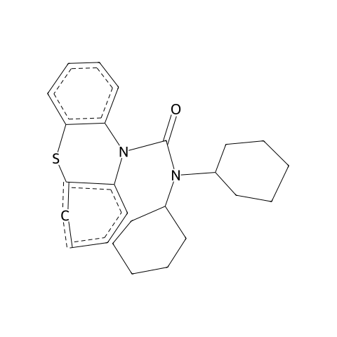 O=C(N1c2ccccc2Sc2ccccc21)N(C1CCCCC1)C1CCCCC1